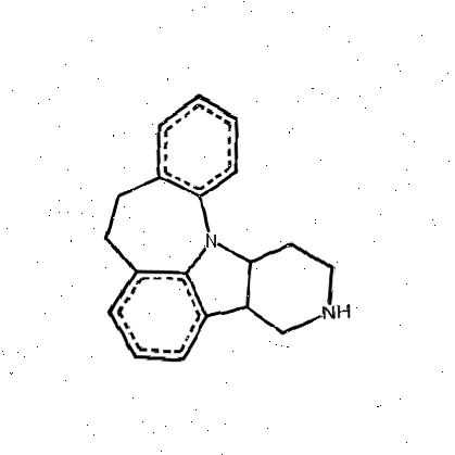 c1ccc2c(c1)CCc1cccc3c1N2C1CCNCC31